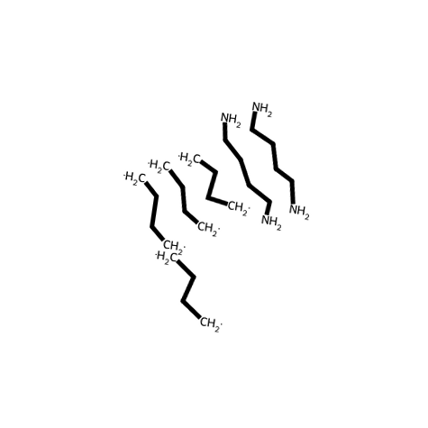 NCCCCN.NCCCCN.[CH2]CC[CH2].[CH2]CC[CH2].[CH2]CC[CH2].[CH2]CC[CH2]